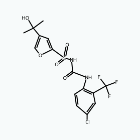 CC(C)(O)c1coc(S(=O)(=O)NC(=O)Nc2ccc(Cl)cc2C(F)(F)F)c1